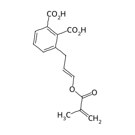 C=C(C)C(=O)OC=CCc1cccc(C(=O)O)c1C(=O)O